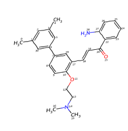 Cc1cc(C)cc(-c2ccc(OCCN(C)C)c(C=CC(=O)c3ccccc3N)c2)c1